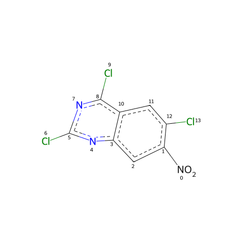 O=[N+]([O-])c1cc2nc(Cl)nc(Cl)c2cc1Cl